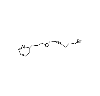 BrCCCC#CCOCCCc1ccccn1